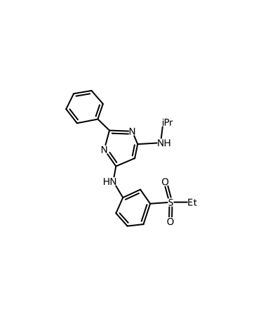 CCS(=O)(=O)c1cccc(Nc2cc(NC(C)C)nc(-c3ccccc3)n2)c1